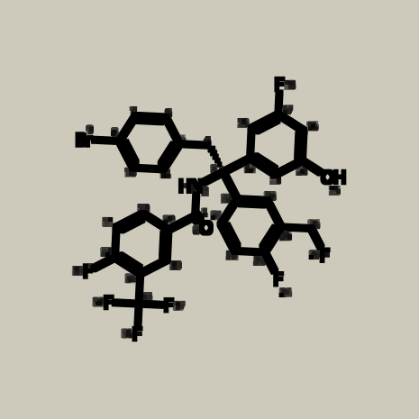 O=C(N[C@@](Cc1ccc(Br)cc1)(c1cc(O)cc(F)c1)c1ccc(F)c(CF)c1)c1ccc(F)c(C(F)(F)F)c1